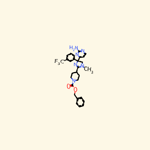 CN1CC(c2cccc(C(F)(F)F)c2)(c2ccnc(N)n2)N=C1C1CCN(C(=O)OCc2ccccc2)CC1